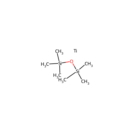 C[Si](C)(C)O[Si](C)(C)C.[Ti]